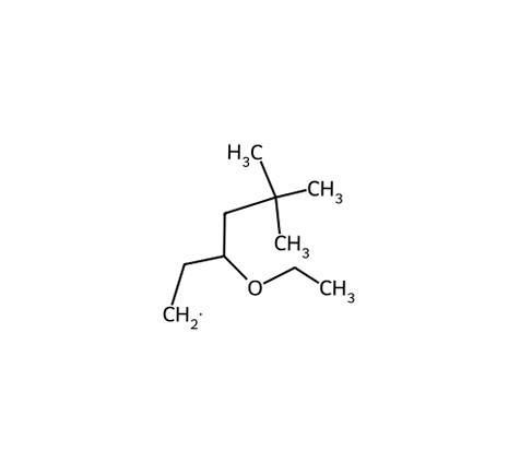 [CH2]CC(CC(C)(C)C)OCC